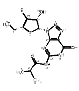 CC[C@H]1S[C@@H](n2nnc3c(=O)[nH]c(NC(=O)C(C)C)nc32)[C@@H](O)C1F